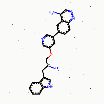 Nc1cnnc2ccc(-c3cncc(OC[C@@H](N)Cc4c[nH]c5ccccc45)c3)cc12